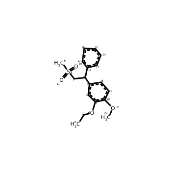 CCOc1cc(C(CS(C)(=O)=O)c2ccccc2)ccc1OC